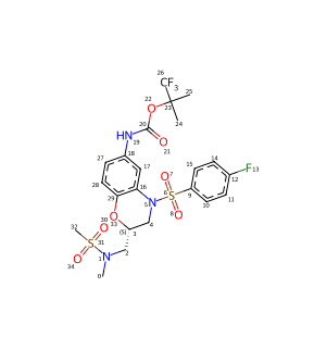 CN(C[C@H]1CN(S(=O)(=O)c2ccc(F)cc2)c2cc(NC(=O)OC(C)(C)C(F)(F)F)ccc2O1)S(C)(=O)=O